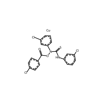 O=C(ON(C(=S)Nc1cccc(Cl)c1)c1cccc(Cl)c1)c1ccc(Cl)cc1.[Cu]